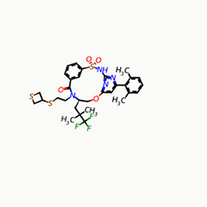 Cc1cccc(C)c1-c1cc2nc(n1)NS(=O)(=O)c1cccc(c1)C(=O)N(CCSC1CSC1)[C@H](CC(C)(C)C(F)(F)F)CO2